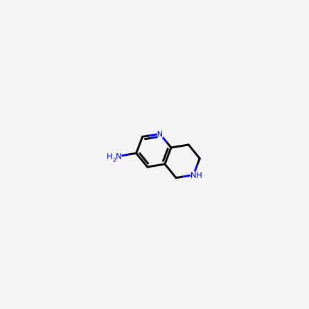 Nc1cnc2c(c1)CNCC2